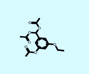 CCOc1cc(OC(C)=O)cc(C(OC(C)=O)OC(C)=O)c1